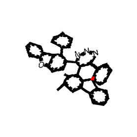 Cc1cc2c(c(-c3c(-c4ccccc4)nnnc3-c3ccc4oc5ccccc5c4c3-c3ccccc3)c1C)Cc1ccccc1-2